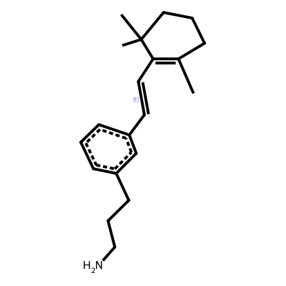 CC1=C(/C=C/c2cccc(CCCN)c2)C(C)(C)CCC1